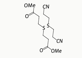 COC(=O)CCSCCC(=O)OC.N#CCCSCCC#N